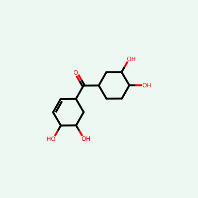 O=C(C1C=CC(O)C(O)C1)C1CCC(O)C(O)C1